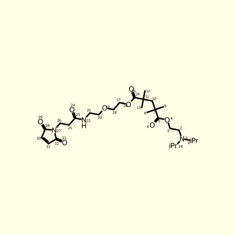 CC(C)N(CCOC(=O)C(C)(C)CC(C)(C)C(=O)OCCOCCNC(=O)CCN1C(=O)C=CC1=O)C(C)C